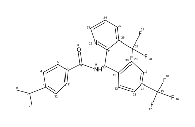 CC(C)c1ccc(C(=O)NC(c2ccc(C(F)(F)F)cc2)c2ncccc2C(F)(F)F)cc1